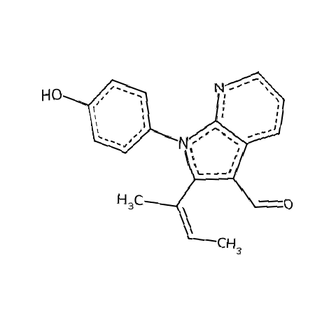 C/C=C(/C)c1c(C=O)c2cccnc2n1-c1ccc(O)cc1